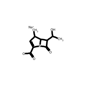 CC(O)C1C(=O)N2C(C(=O)[O-])=CC(C)C12.[Na+]